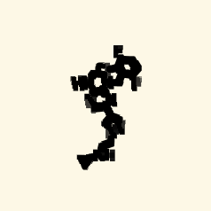 Fc1ccc(F)c(CN2CCNc3ncc(-c4cnn(CCNC5CC5)c4)nc32)c1Cl